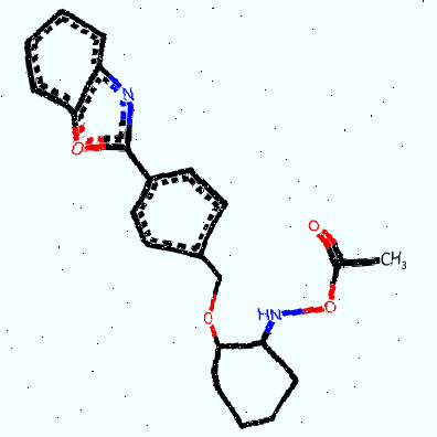 CC(=O)ONC1CCCCC1OCc1ccc(-c2nc3ccccc3o2)cc1